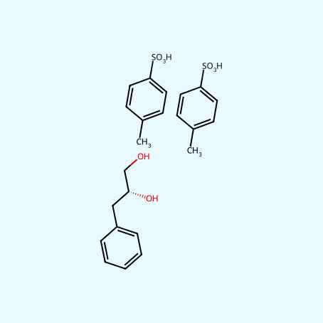 Cc1ccc(S(=O)(=O)O)cc1.Cc1ccc(S(=O)(=O)O)cc1.OC[C@H](O)Cc1ccccc1